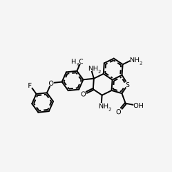 Cc1cc(Oc2ccccc2F)ccc1C1(N)C(=O)C(N)c2c(C(=O)O)sc3c(N)ccc1c23